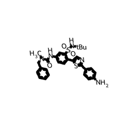 CN(Cc1ccccc1)C(=O)Nc1ccc(-c2cnc(-c3ccc(N)cc3)s2)c(S(=O)(=O)NC(C)(C)C)c1